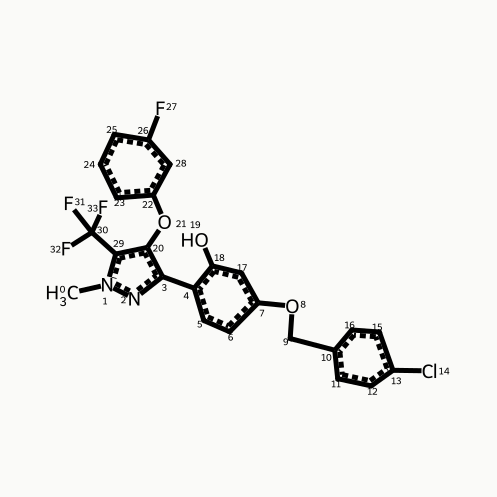 Cn1nc(-c2ccc(OCc3ccc(Cl)cc3)cc2O)c(Oc2cccc(F)c2)c1C(F)(F)F